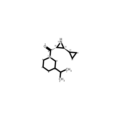 CC(C)C1CCCN(C(=O)[C@@H]2N[C@H]2C2CC2)C1